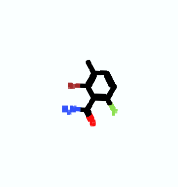 Cc1ccc(F)c(C(N)=O)c1Br